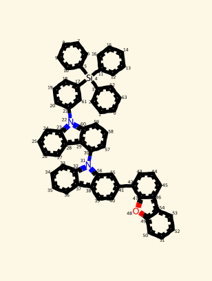 c1ccc([Si](c2ccccc2)(c2ccccc2)c2cccc(-n3c4ccccc4c4c(-n5c6ccccc6c6ccc(-c7cccc8c7oc7ccccc78)cc65)cccc43)c2)cc1